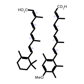 CC1=C(/C=C/C(C)=C/C=C/C(C)=C\C(=O)O)C(C)(C)CCC1.COc1cc(C)c(/C=C/C(C)=C/C=C/C(C)=C/C(=O)O)c(C)c1C